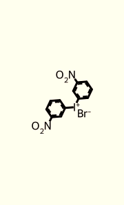 O=[N+]([O-])c1cccc([I+]c2cccc([N+](=O)[O-])c2)c1.[Br-]